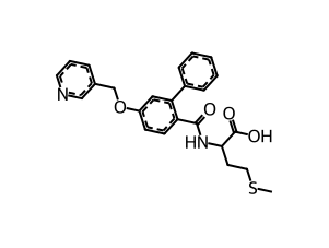 CSCCC(NC(=O)c1ccc(OCc2cccnc2)cc1-c1ccccc1)C(=O)O